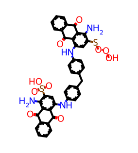 Nc1c(SOOO)cc(Nc2ccc(Cc3ccc(Nc4cc(S(=O)(=O)O)c(N)c5c4C(=O)c4ccccc4C5=O)cc3)cc2)c2c1C(=O)c1ccccc1C2=O